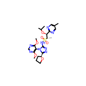 COc1ncnc(OC)c1-n1c(NS(=O)(=O)[C@@H](C)[C@@H](OC(C)C)c2ncc(C)cn2)nnc1[C@@H]1CCCO1